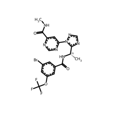 CNC(=O)c1cc(-n2ncnc2[C@H](C)NC(=O)c2cc(Br)cc(OC(F)(F)F)c2)ncn1